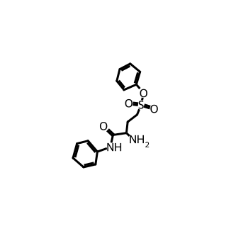 NC(CCS(=O)(=O)Oc1ccccc1)C(=O)Nc1ccccc1